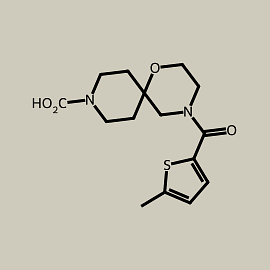 Cc1ccc(C(=O)N2CCOC3(CCN(C(=O)O)CC3)C2)s1